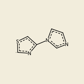 [c]1nc(-n2ccnc2)cs1